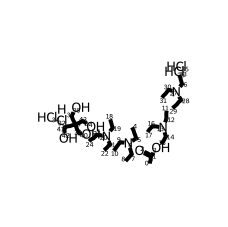 CC(=O)O.CCN(CC)CC.CCN(CC)CC.CCN(CC)CC.CCN(CC)CC.Cl.Cl.Cl.Cl.OCC(CO)(CO)CO